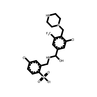 CCS(=O)(=O)c1ccc(Cl)cc1CNC(O)c1cc(Cl)c(CN2CCNCC2)c(C(F)(F)F)c1